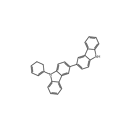 C1=CCCC(n2c3ccccc3c3cc(-c4ccc5[nH]c6ccccc6c5c4)ccc32)=C1